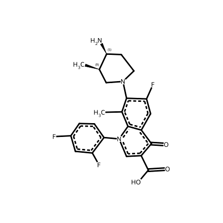 Cc1c(N2CC[C@H](N)[C@H](C)C2)c(F)cc2c(=O)c(C(=O)O)cn(-c3ccc(F)cc3F)c12